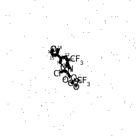 O=C(OS(=O)(=O)C(F)(F)F)c1nc2c(C(F)(F)F)cc(-c3ccoc3)cn2c1Cl